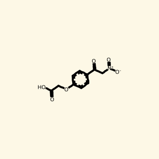 O=C(O)COc1ccc(C(=O)C[N+](=O)[O-])cc1